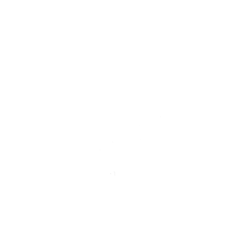 COc1cccc(Cl)c1C(=O)OCc1ccccc1